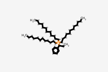 C=CC(c1ccccc1)[PH](CCCCCCCCCCCC)(CCCCCCCCCCCC)CCCCCCCCCCCC